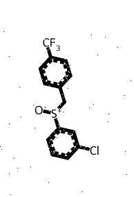 [O-][S+](Cc1ccc(C(F)(F)F)cc1)c1cccc(Cl)c1